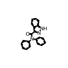 O=C(c1n[nH]c2ccccc12)N(c1ccccc1)c1ccccc1